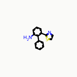 Nc1cccc(-c2nccs2)c1-c1ccccc1